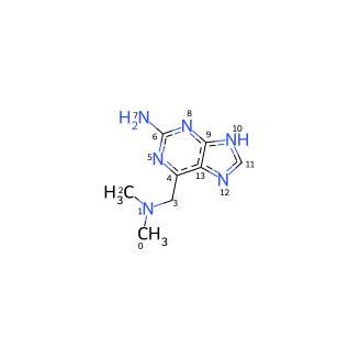 CN(C)Cc1nc(N)nc2[nH]cnc12